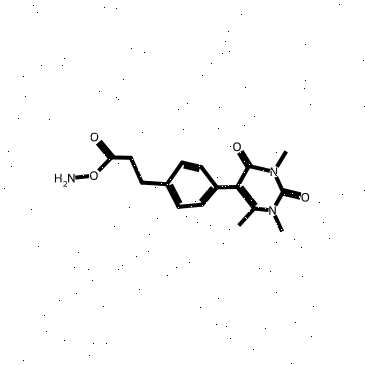 Cc1c(-c2ccc(CCC(=O)ON)cc2)c(=O)n(C)c(=O)n1C